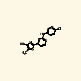 Cc1sc(-c2ccnc(Nc3ccc(Cl)nc3)n2)nc1O